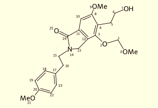 COCOc1c(CCO)c(OC)cc2c1CN(CCc1ccc(OC)cc1)C2=O